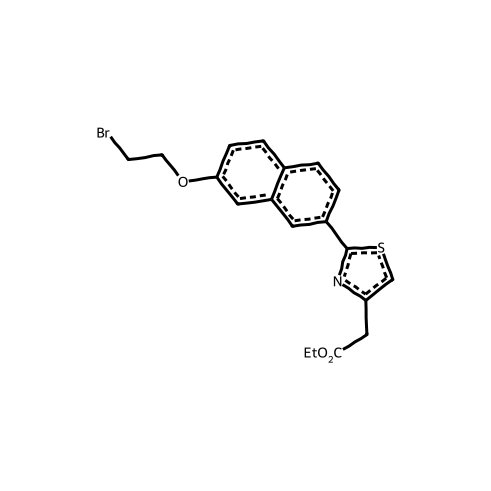 CCOC(=O)Cc1csc(-c2ccc3ccc(OCCBr)cc3c2)n1